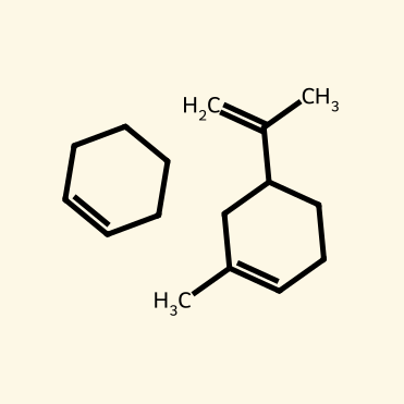 C1=CCCCC1.C=C(C)C1CCC=C(C)C1